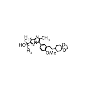 COc1ccc(-c2c(C)nc3sc(C(C)(C)O)nn23)cc1CCC1CCC2(CC1)OCCO2